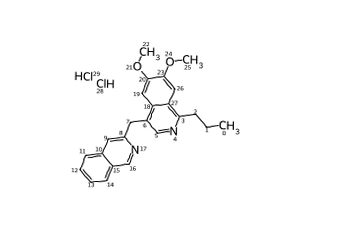 CCCc1ncc(Cc2cc3ccccc3cn2)c2cc(OC)c(OC)cc12.Cl.Cl